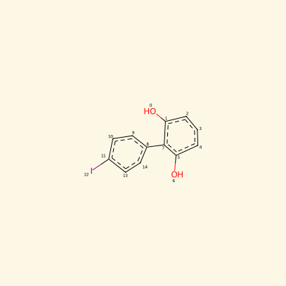 Oc1cccc(O)c1-c1ccc(I)cc1